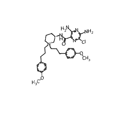 COc1ccc(CCC[N+]2(CCCc3ccc(OC)cc3)CCC[C@@H](NC(=O)c3nc(Cl)c(N)nc3N)C2)cc1